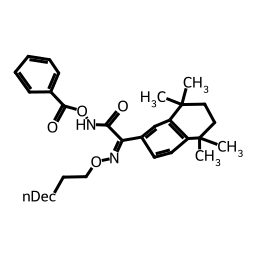 CCCCCCCCCCCCON=C(C(=O)NOC(=O)c1ccccc1)c1ccc2c(c1)C(C)(C)CCC2(C)C